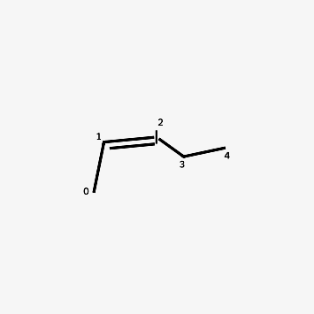 C/C=I\CC